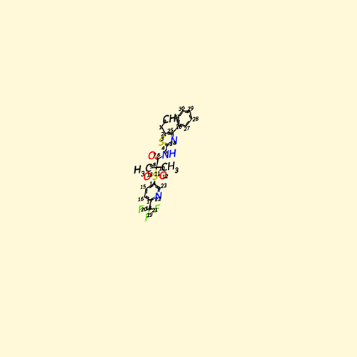 CCc1sc(NC(=O)C(C)(C)S(=O)(=O)c2ccc(C(F)(F)F)nc2)nc1-c1ccccc1